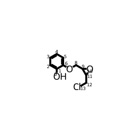 Oc1ccccc1OCC1OC1CCl